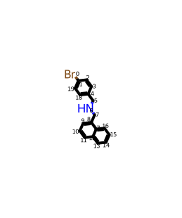 Brc1ccc(CNCc2cccc3ccccc23)cc1